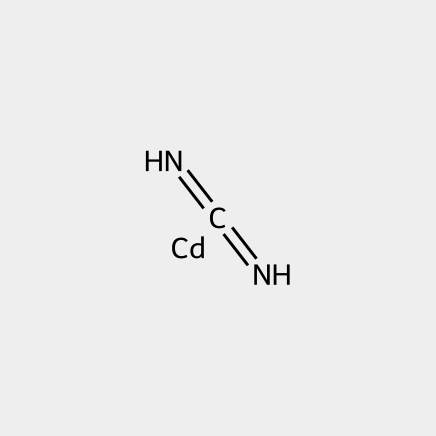 N=C=N.[Cd]